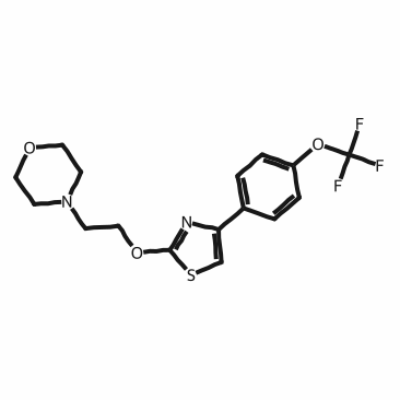 FC(F)(F)Oc1ccc(-c2csc(OCCN3CCOCC3)n2)cc1